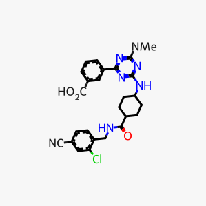 CNc1nc(NC2CCC(C(=O)NCc3ccc(C#N)cc3Cl)CC2)nc(-c2cccc(C(=O)O)c2)n1